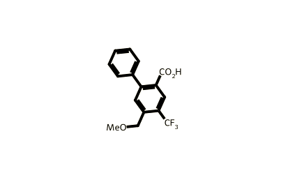 COCc1cc(-c2ccccc2)c(C(=O)O)cc1C(F)(F)F